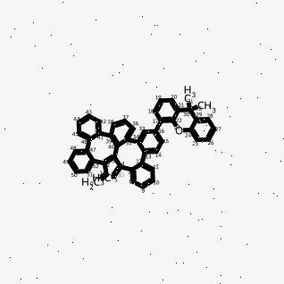 C=Cc1c2/c(=C\C)c3ccccc3c3ccc(-c4cccc5c4Oc4ccccc4C5(C)C)cc3c3cccc(c3-2)c2ccccc2c2ccccc12